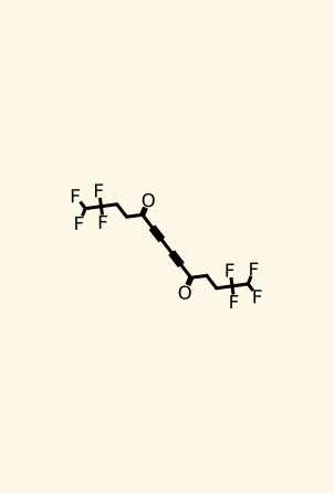 O=C(C#CC#CC(=O)CCC(F)(F)C(F)F)CCC(F)(F)C(F)F